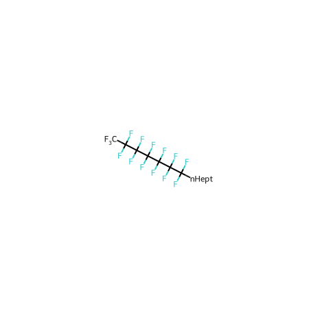 CCCCCCCC(F)(F)C(F)(F)C(F)(F)C(F)(F)C(F)(F)C(F)(F)C(F)(F)F